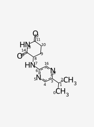 CC(C)c1cnc(NC2CCC(=O)NC2=O)cn1